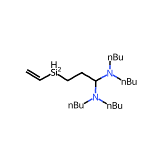 C=C[SiH2]CCC(N(CCCC)CCCC)N(CCCC)CCCC